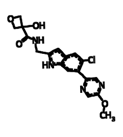 COc1cnc(-c2cc3[nH]c(CNC(=O)C4(O)COC4)cc3cc2Cl)cn1